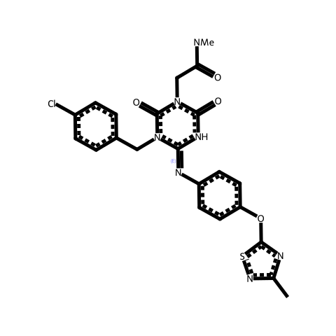 CNC(=O)Cn1c(=O)[nH]/c(=N\c2ccc(Oc3nc(C)ns3)cc2)n(Cc2ccc(Cl)cc2)c1=O